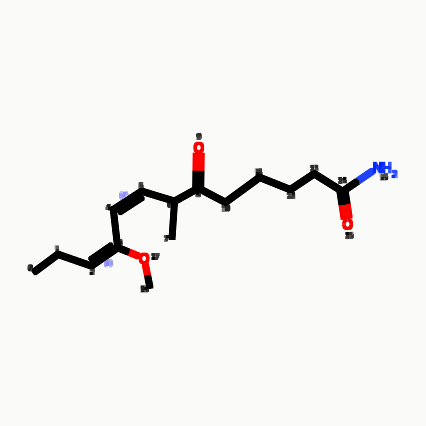 CC/C=C(\C=C/C(C)C(=O)CCCCC(N)=O)OC